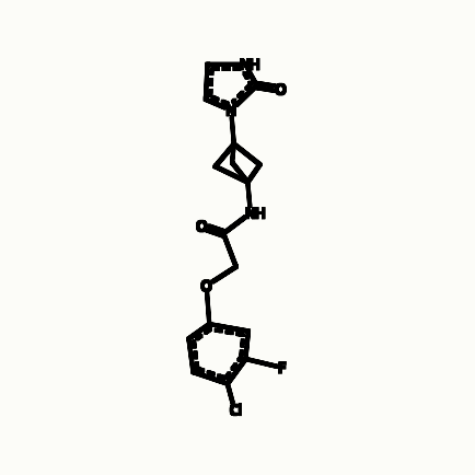 O=C(COc1ccc(Cl)c(F)c1)NC12CC(n3cc[nH]c3=O)(C1)C2